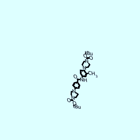 Cc1cc(NC(=O)c2ccc(N3CCN(C(=O)OC(C)(C)C)CC3)cc2)ccc1N1CCN(C(=O)OC(C)(C)C)CC1